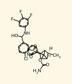 C[C@H]1C2CC(S(=O)(=O)c3cc(C(O)Nc4cc(F)c(F)c(F)c4)ccc3Cl)C1[C@@]2(OC(N)=O)c1cccnc1